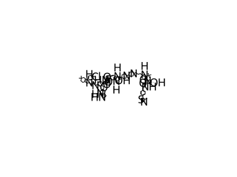 Cc1ncsc1-c1ccc(CNC(=O)[C@@H]2C[C@@H](O)CN2C(=O)[C@@H](NCCCCN2CCC(N3CCC(CNc4ccc(S(=O)(=O)NC(=O)c5ccc(NCCNCC6=C(c7ccc(Cl)cc7)CC(C)(C)CC6)cc5Oc5cnc6[nH]ccc6c5)cc4NO)CC3)CC2)C(C)(C)C)cc1